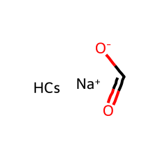 O=C[O-].[CsH].[Na+]